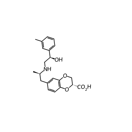 Cc1cccc([C@@H](O)CN[C@H](C)Cc2ccc3c(c2)OC[C@H](C(=O)O)O3)c1